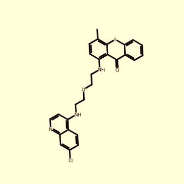 Cc1ccc(NCCOCCNc2ccnc3cc(Cl)ccc23)c2c(=O)c3ccccc3sc12